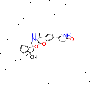 C[C@@H](c1ccc(-c2ccc(=O)[nH]c2)cc1)C1NCC(CC(C)(C)C#N)(c2ccccc2)OC1=O